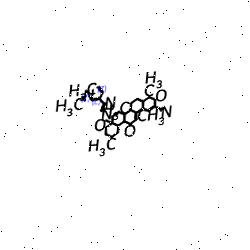 C\C=C/C(=C\N=C/C)c1cn(C(=O)C23CCC(C)CC2C2C(=O)C=C4C5(C)C=C(C#N)C(=O)C(C)C5CCC4(C)C2CC3)cn1